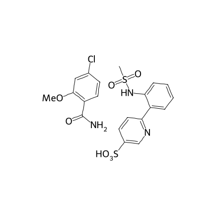 COc1cc(Cl)ccc1C(N)=O.CS(=O)(=O)Nc1ccccc1-c1ccc(S(=O)(=O)O)cn1